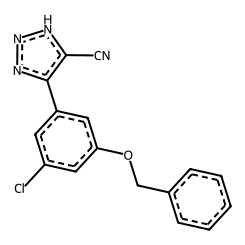 N#Cc1[nH]nnc1-c1cc(Cl)cc(OCc2ccccc2)c1